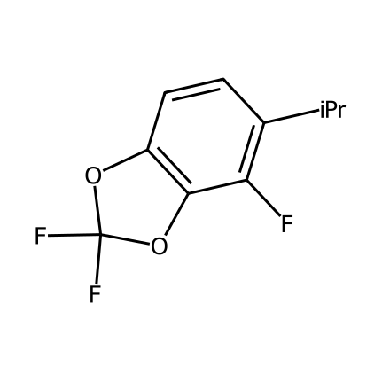 CC(C)c1ccc2c(c1F)OC(F)(F)O2